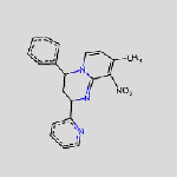 CC1=C([N+](=O)[O-])C2=NC(c3ccccn3)CC(c3ccccc3)N2C=C1